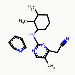 Cc1cnc(NC2CCCC(C)C2C)nc1CC#N.c1ccncc1